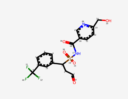 O=CCC(c1cccc(C(F)(F)F)c1)S(=O)(=O)NC(=O)c1ccc(CO)nc1